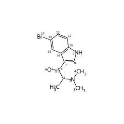 CC(N(C)C)[S+]([O-])c1c[nH]c2ccc(Br)cc12